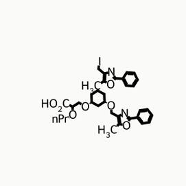 CCCOC(CO[C@@H]1CCC[C@H](OCc2nc(-c3ccccc3)oc2C)C1)C(=O)O.Cc1oc(-c2ccccc2)nc1CI